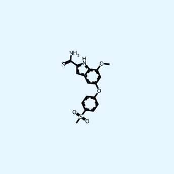 COc1cc(Oc2ccc(S(C)(=O)=O)cc2)cc2cc(C(N)=S)[nH]c12